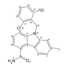 Cc1c[c]c2c3c(C(N)=O)cccc3n(Cc3c(Cl)cccc3Cl)c2c1